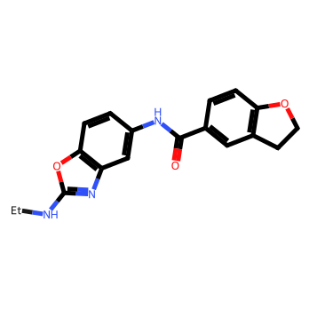 CCNc1nc2cc(NC(=O)c3ccc4c(c3)CCO4)ccc2o1